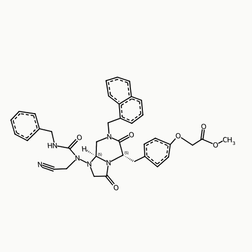 COC(=O)COc1ccc(C[C@H]2C(=O)N(Cc3cccc4ccccc34)C[C@H]3N2C(=O)CN3N(CC#N)C(=O)NCc2ccccc2)cc1